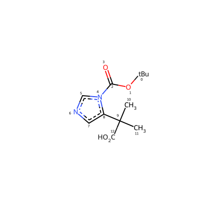 CC(C)(C)OC(=O)n1cncc1C(C)(C)C(=O)O